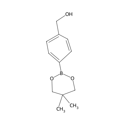 CC1(C)COB(c2ccc(CO)cc2)OC1